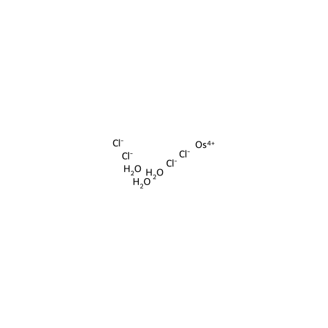 O.O.O.[Cl-].[Cl-].[Cl-].[Cl-].[Os+4]